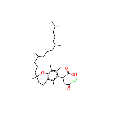 Cc1c(C)c(C(CC(=O)Cl)C(=O)O)c(C)c2c1OC(C)(CCCC(C)CCCC(C)CCCC(C)C)CC2